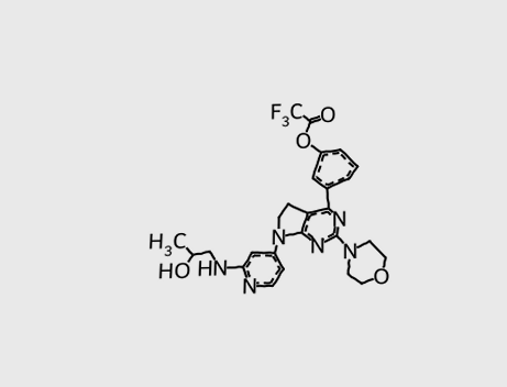 CC(O)CNc1cc(N2CCc3c(-c4cccc(OC(=O)C(F)(F)F)c4)nc(N4CCOCC4)nc32)ccn1